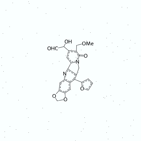 COCc1c(C(O)C=O)cc2n(c1=O)Cc1c-2nc2cc3c(cc2c1-c1ccco1)OCO3